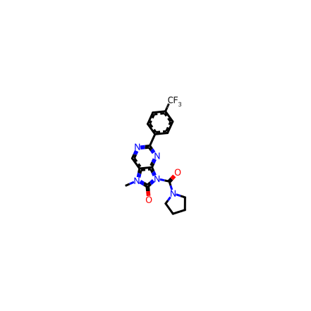 Cn1c(=O)n(C(=O)N2CCCC2)c2nc(-c3ccc(C(F)(F)F)cc3)ncc21